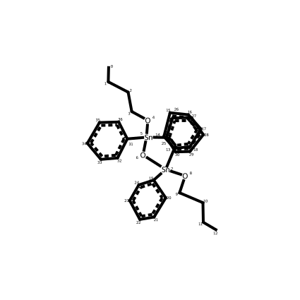 CCCC[O][Sn]([O][Sn]([O]CCCC)([c]1ccccc1)[c]1ccccc1)([c]1ccccc1)[c]1ccccc1